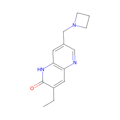 CCc1cc2ncc(CN3CCC3)cc2[nH]c1=O